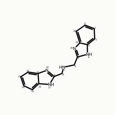 c1ccc2[nH]c(CNCc3nc4ccccc4[nH]3)nc2c1